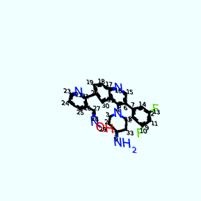 NC1CCN(c2c(-c3cc(F)cc(F)c3)cnc3ccc(-c4ncccc4C=NO)cc23)CC1